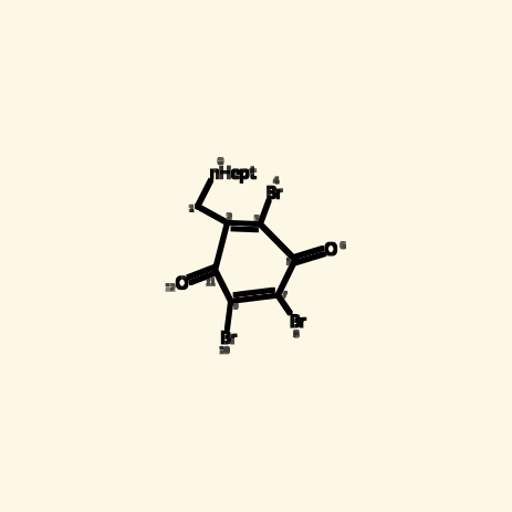 CCCCCCCCC1=C(Br)C(=O)C(Br)=C(Br)C1=O